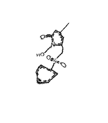 Cc1cc(CS(=O)(=O)c2ccccc2)n(O)c(=O)c1